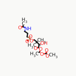 COC(=O)OC(C)OC(=O)[C@H](O)C(C)(C)COS(=O)(=O)CCCNC(C)=O